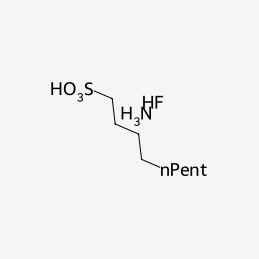 CCCCCCCCCS(=O)(=O)O.F.N